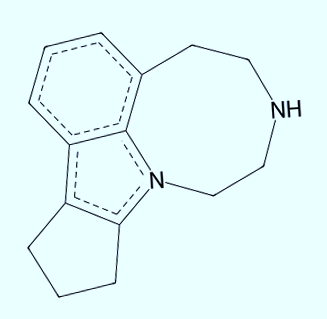 c1cc2c3c(c1)c1c(n3CCNCC2)CCC1